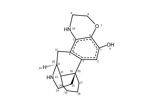 Oc1cc2c(c3c1OCCN3)C[C@@H]1NCC[C@]23CCCCC13